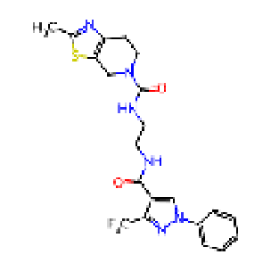 Cc1nc2c(s1)CN(C(=O)NCCNC(=O)c1cn(-c3ccccc3)nc1C(F)(F)F)CC2